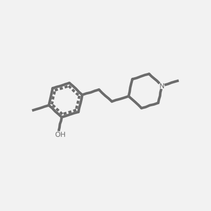 Cc1ccc(CCC2CCN(C)CC2)cc1O